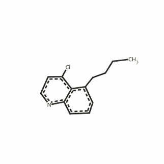 CCCCc1cccc2nccc(Cl)c12